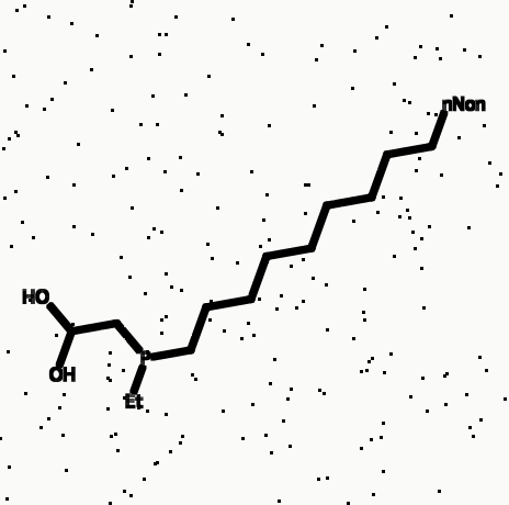 CCCCCCCCCCCCCCCCCCP(CC)CC(O)O